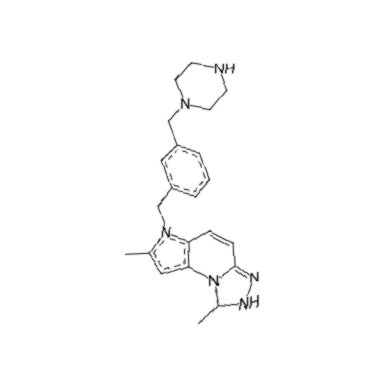 Cc1cc2c(n1Cc1cccc(CN3CCNCC3)c1)C=CC1=NNC(C)N12